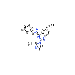 O=C(O)c1ccc2nc(-n3ccnc3)nc(NCc3ccccc3)c2c1.[Na]